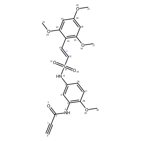 C#CC(=O)Nc1cc(NS(=O)(=O)/C=C/c2c(OC)cc(OC)cc2OC)ccc1OC